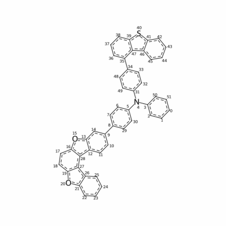 c1ccc(N(c2ccc(-c3ccc4c(c3)oc3ccc5oc6ccccc6c5c34)cc2)c2ccc(-c3cccc4sc5ccccc5c34)cc2)cc1